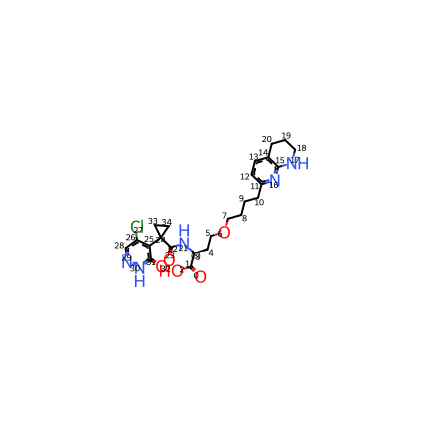 O=C(O)[C@H](CCOCCCCc1ccc2c(n1)NCCC2)NC(=O)C1(c2c(Cl)cn[nH]c2=O)CC1